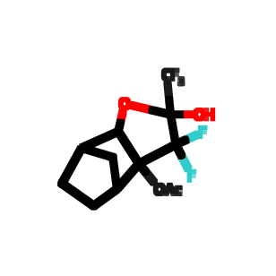 CC(=O)OC12C3CCC(C3)C1OC(O)(C(F)(F)F)C2(F)F